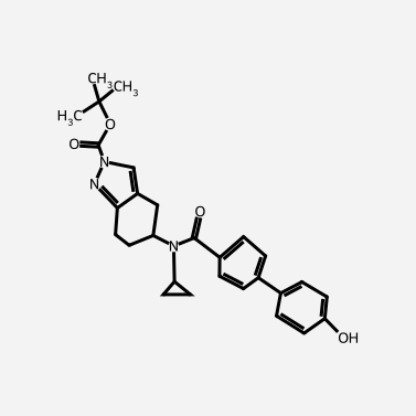 CC(C)(C)OC(=O)n1cc2c(n1)CCC(N(C(=O)c1ccc(-c3ccc(O)cc3)cc1)C1CC1)C2